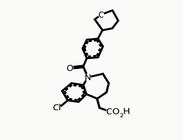 O=C(O)CC1CCCN(C(=O)c2ccc(C3CCCCC3)cc2)c2ccc(Cl)cc21